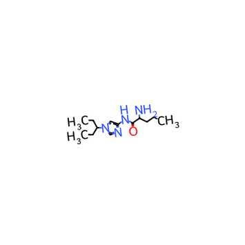 CCCC(N)C(=O)Nc1cn(C(CC)CC)cn1